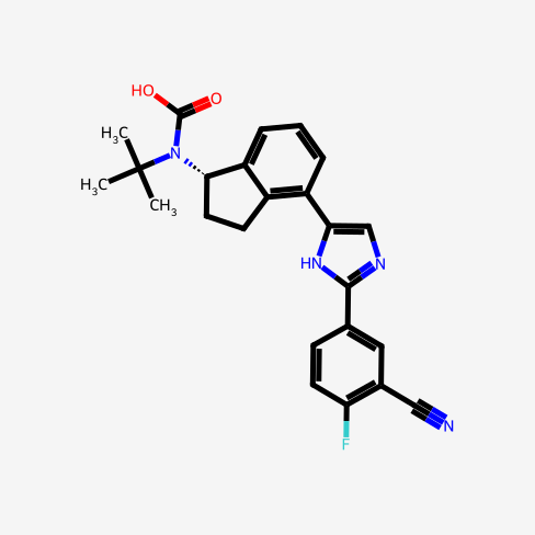 CC(C)(C)N(C(=O)O)[C@H]1CCc2c(-c3cnc(-c4ccc(F)c(C#N)c4)[nH]3)cccc21